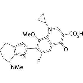 CNC1CCCc2cc(-c3c(F)cc4c(=O)c(C(=O)O)cn(C5CC5)c4c3OC)sc21